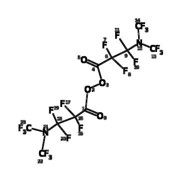 O=C(OOC(=O)C(F)(F)C(F)(F)N(C(F)(F)F)C(F)(F)F)C(F)(F)C(F)(F)N(C(F)(F)F)C(F)(F)F